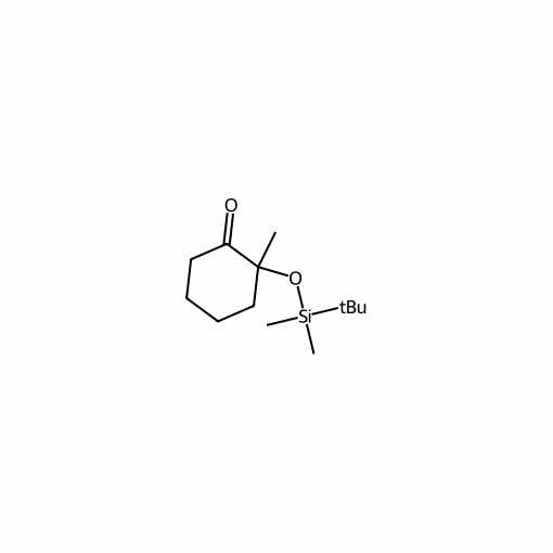 CC1(O[Si](C)(C)C(C)(C)C)CCCCC1=O